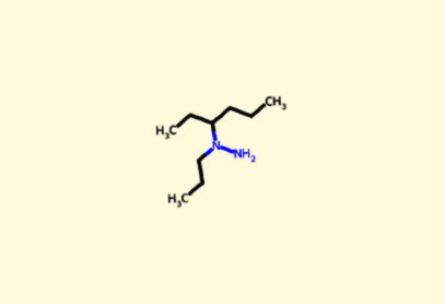 CCCC(CC)N(N)CCC